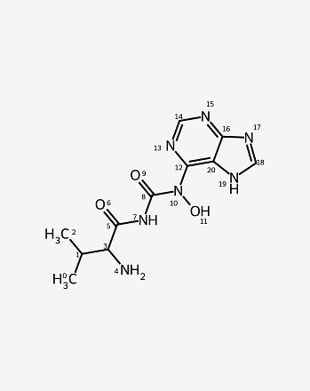 CC(C)C(N)C(=O)NC(=O)N(O)c1ncnc2nc[nH]c12